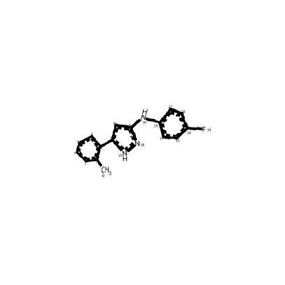 Cc1ccccc1-c1cc(Nc2ccc(F)cc2)n[nH]1